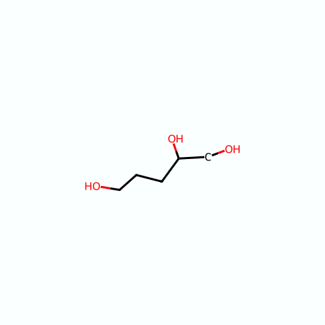 OCCCC(O)CO